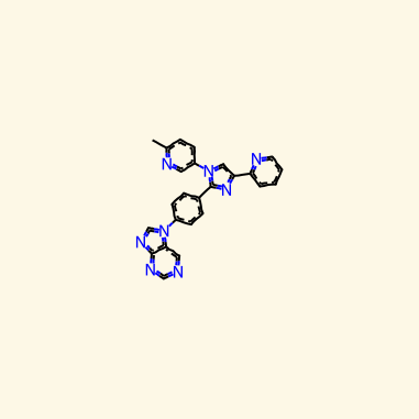 Cc1ccc(-n2cc(-c3ccccn3)nc2-c2ccc(-n3cnc4ncncc43)cc2)cn1